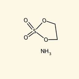 N.O=S1(=O)OCCO1